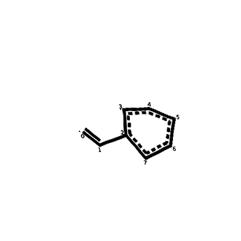 [CH]=Cc1[c]cccc1